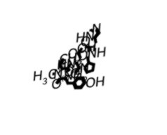 C=C[C@@H](C(=O)N[C@@H](CC(=O)O)C(=O)N1CCCC1C(=O)N[C@H](C=O)Cc1cnc[nH]1)N(C)C(=O)[C@@H](N)Cc1ccc(O)cc1